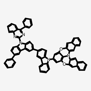 c1ccc(-c2ccc3c(c2)c2cc(-c4ccc5c(c4)c4ccccc4n5-c4cc5c6c(c4)Oc4cc7ccccc7cc4N6c4cc6ccccc6cc4O5)ccc2n3-c2nc(-c3ccccc3)c3ccccc3n2)cc1